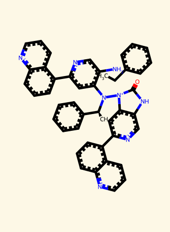 CC(c1ccccc1)[N@@+]1(N(c2cc(-c3cccc4ncccc34)ncc2N)[C@@H](C)c2ccccc2)C(=O)Nc2cnc(-c3cccc4ncccc34)cc21